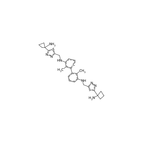 Cc1c(NCc2nnc(C3(N)CCC3)s2)cccc1-c1cccc(NCc2nnc(C3(N)CCC3)s2)c1C